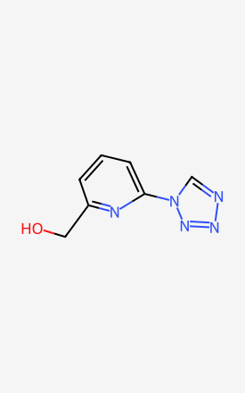 OCc1cccc(-n2cnnn2)n1